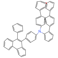 c1ccc(-c2ccc(-c3ccccc3N(c3ccc(-c4ccccc4)cc3)c3ccc(-c4c(-c5ccccc5)c5ccccc5c5ccccc45)cc3)cc2)cc1